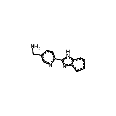 NCc1ccc(-c2nc3ccccc3[nH]2)nc1